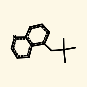 CC(C)(C)Cc1cccc2ncccc12